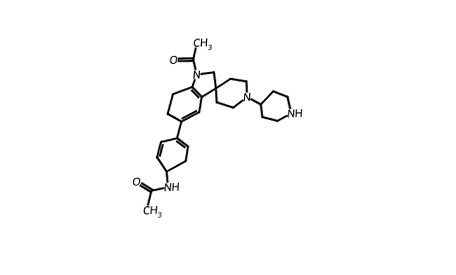 CC(=O)NC1C=CC(C2=CC3=C(CC2)N(C(C)=O)CC32CCN(C3CCNCC3)CC2)=CC1